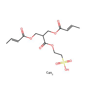 CC=CC(=O)OCC(COC(=O)C=CC)C(=O)OCCS(=O)(=O)O.[CaH2]